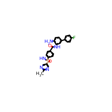 Cc1ncc(S(=N)(=O)c2ccc(C(=O)Nc3cc(-c4ccc(F)cc4)ccc3N)cc2)cn1